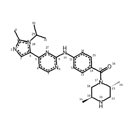 Cc1ncc(-c2ccnc(Nc3ccc(C(=O)N4C[C@H](C)NC[C@H]4C)cc3)n2)n1C(C)C